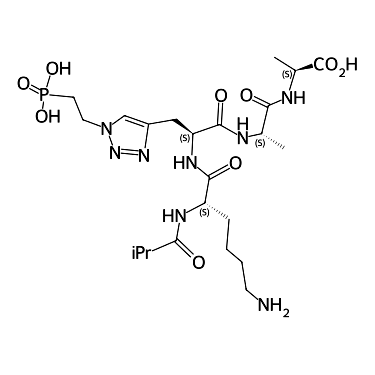 CC(C)C(=O)N[C@@H](CCCCN)C(=O)N[C@@H](Cc1cn(CCP(=O)(O)O)nn1)C(=O)N[C@@H](C)C(=O)N[C@@H](C)C(=O)O